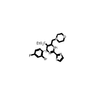 CCOC(=O)C1=C(CN2CCOCC2)NC(c2nccs2)=N[C@@H]1c1ccc(F)cc1Br